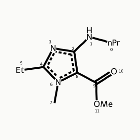 CCCNc1nc(CC)n(C)c1C(=O)OC